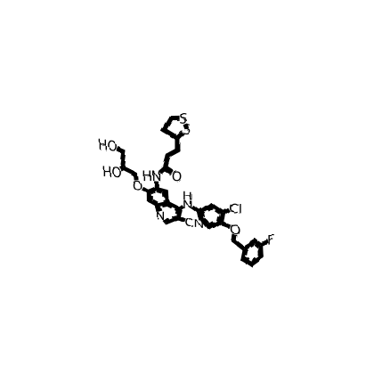 N#Cc1cnc2cc(OCC(O)CO)c(NC(=O)CCC3CCSS3)cc2c1Nc1ccc(OCc2cccc(F)c2)c(Cl)c1